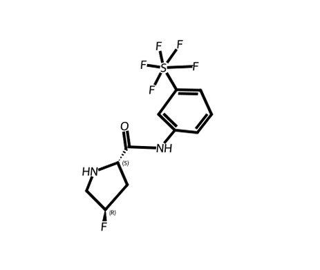 O=C(Nc1cccc(S(F)(F)(F)(F)F)c1)[C@@H]1C[C@@H](F)CN1